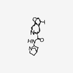 O=C(NC1CC2CCN1C2)c1cc2c(I)coc2cn1